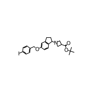 CC(C)(C)OC(=O)C1CN(C2CCc3cc(OCc4ccc(I)cc4)ccc32)C1